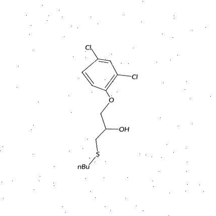 CCCCSCC(O)COc1ccc(Cl)cc1Cl